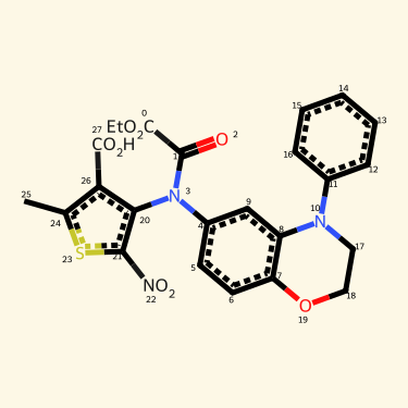 CCOC(=O)C(=O)N(c1ccc2c(c1)N(c1ccccc1)CCO2)c1c([N+](=O)[O-])sc(C)c1C(=O)O